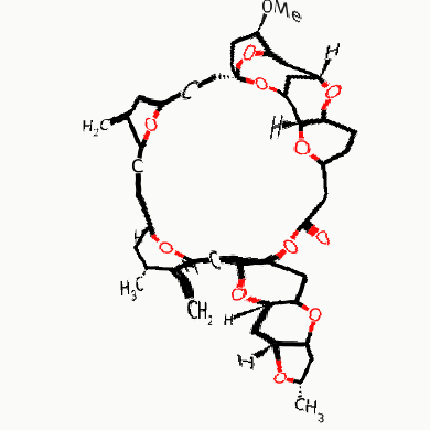 C=C1CC2CC[C@]34C[C@@H](OC)C(O3)[C@H]3CC(O4)[C@H]4OC(CCC4O3)CC(=O)OC3CC4OC5C[C@H](C)O[C@@H]5C[C@@H]4OC3C[C@H]3O[C@@H](CCC1O2)C[C@@H](C)C3=C